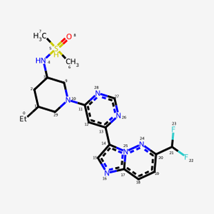 CCC1CC(N[SH](C)(C)=O)CN(c2cc(-c3cnc4ccc(C(F)F)nn34)ncn2)C1